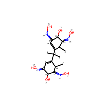 CC1C(C(C)(C)C2=CC(=NO)C(O)C(=NO)C2C)=CC(=NO)C(O)C1=NO